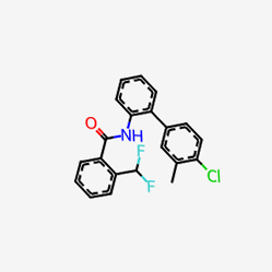 Cc1cc(-c2ccccc2NC(=O)c2ccccc2C(F)F)ccc1Cl